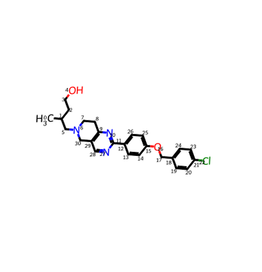 CC(CCO)CN1CCc2nc(-c3ccc(OCc4ccc(Cl)cc4)cc3)ncc2C1